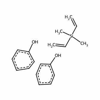 C=C[Si](C)(C)C=C.Oc1ccccc1.Oc1ccccc1